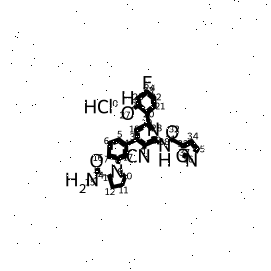 Cl.N#Cc1c(-c2cccc(N3CCC[C@@H]3C(N)=O)c2)cc(-c2ccc(F)cc2O)nc1NC(=O)c1ccno1